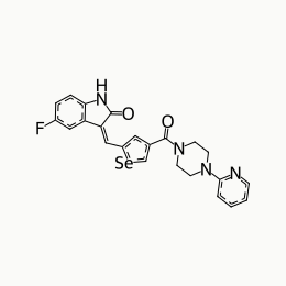 O=C1Nc2ccc(F)cc2C1=Cc1cc(C(=O)N2CCN(c3ccccn3)CC2)c[se]1